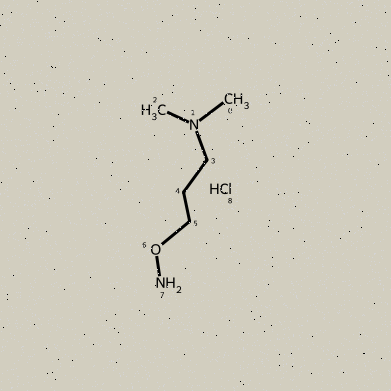 CN(C)CCCON.Cl